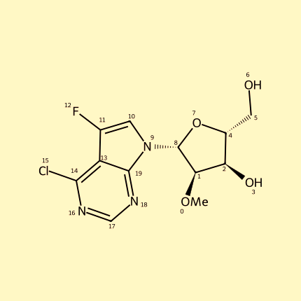 CO[C@@H]1[C@H](O)[C@@H](CO)O[C@H]1n1cc(F)c2c(Cl)ncnc21